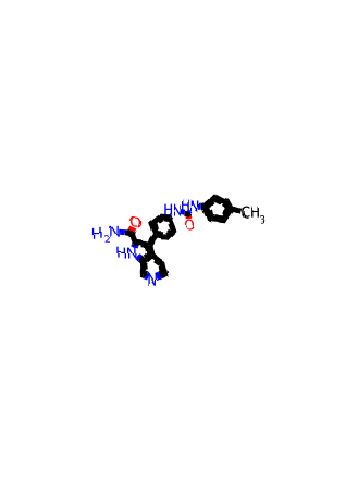 Cc1ccc(NC(=O)Nc2ccc(-c3c(C(N)=O)[nH]c4cnccc34)cc2)cc1